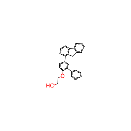 OCCOc1ccc(-c2cccc3c2Cc2ccccc2-3)cc1-c1ccccc1